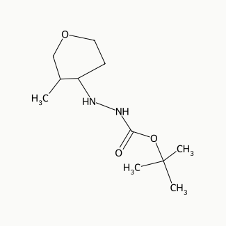 CC1COCCC1NNC(=O)OC(C)(C)C